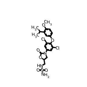 COc1ccc(Oc2c(Cl)cc(N3CC(CNS(N)(=O)=O)OC3=O)cc2Cl)cc1C(C)C